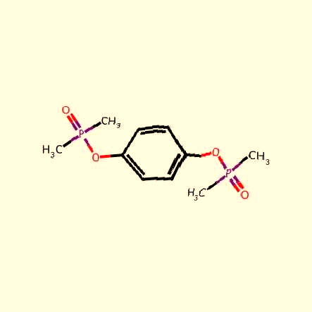 CP(C)(=O)Oc1ccc(OP(C)(C)=O)cc1